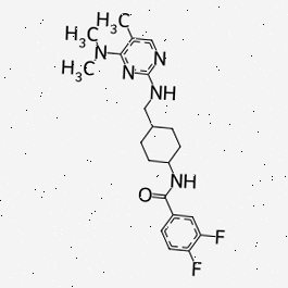 Cc1cnc(NCC2CCC(NC(=O)c3ccc(F)c(F)c3)CC2)nc1N(C)C